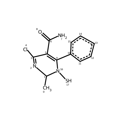 CC1N=C(Cl)C(C(N)=O)=C(c2ccccc2)N1S